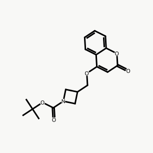 CC(C)(C)OC(=O)N1CC(COc2cc(=O)oc3ccccc23)C1